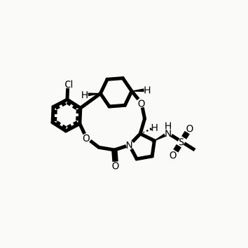 CS(=O)(=O)N[C@H]1CCN2C(=O)COc3cccc(Cl)c3[C@H]3CC[C@H](CC3)OC[C@@H]12